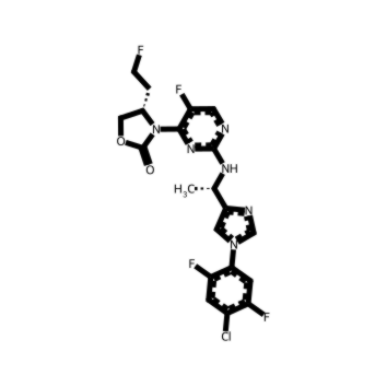 C[C@H](Nc1ncc(F)c(N2C(=O)OC[C@@H]2CCF)n1)c1cn(-c2cc(F)c(Cl)cc2F)cn1